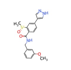 COc1cccc(CNC(=O)c2ccc(-c3cn[nH]c3)cc2[S+](C)[O-])c1